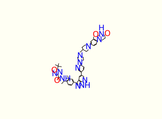 Cc1cc(-c2n[nH]c3ncc(-c4ccc(N5CCN(CC6CCN(c7ccc(N8CCC(=O)NC8=O)c(C)c7)CC6)CC5)nc4)cc23)ccc1C(C)NC(=O)c1noc(C(C)(C)C)n1